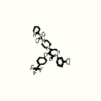 O=c1c(OC2CCC(C(F)(F)F)CC2)c(N2CCN(S(=O)(=O)c3ccccn3)CC2)cnn1-c1cccc(Cl)c1